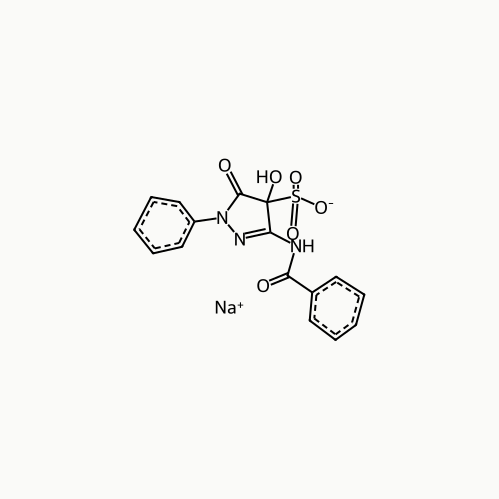 O=C(NC1=NN(c2ccccc2)C(=O)C1(O)S(=O)(=O)[O-])c1ccccc1.[Na+]